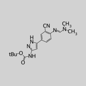 CN(C)C=Nc1ccc(-c2cc(NC(=O)OC(C)(C)C)n[nH]2)cc1C#N